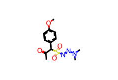 COc1ccc(C(C(C)=O)S(=O)(=O)N=NN(C)C)cc1